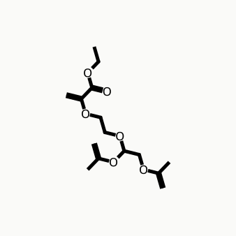 C=C(C)OCC(OCCOC(=C)C(=O)OCC)OC(=C)C